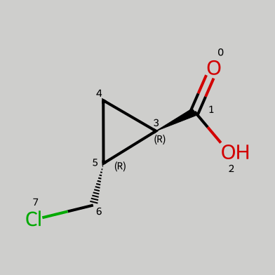 O=C(O)[C@@H]1C[C@H]1CCl